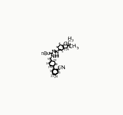 CCCC/C(=N/NC1=CC2=C(CC1)OC(C)(C)C2)NCC1=CC=C(c2ccccc2C#N)CC1